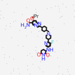 CC(C)Oc1cc2nc(C3CCC(CN4CCC(c5ncc(NC6CCC(=O)NC6=O)cc5F)CC4)CC3)cn2cc1C(N)=O